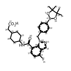 CC1(C)OB(c2ccc(Cn3ncc4c(F)ccc(C(=O)NC5CCC(CC(=O)O)CC5)c43)cc2)OC1(C)C